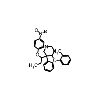 CCC(Oc1ccc([N+](=O)[O-])cc1)C1(c2ccccc2)CNCCC1Oc1ccccc1C